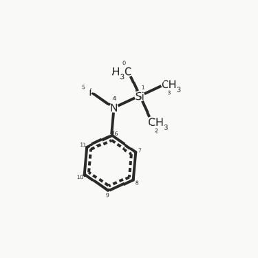 C[Si](C)(C)N(I)c1ccccc1